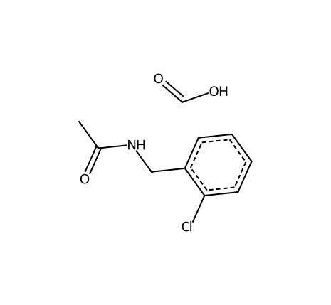 CC(=O)NCc1ccccc1Cl.O=CO